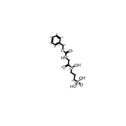 O=C(NCC(=O)N(O)CCCP(=O)(O)O)OCc1ccccc1